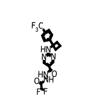 O=C(NNC(=O)C(F)F)c1cnc(NC2(c3ccc(C(F)(F)F)cc3)CCC2)nc1